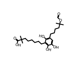 CC(C)(CCCCc1cc(O)c(O)c(CCCCCCC(C)(C)C(=O)O)c1O)OC=O